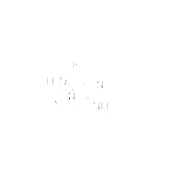 Cl.Nc1c[n+]([O-])c(N)cc1N1CCCCC1